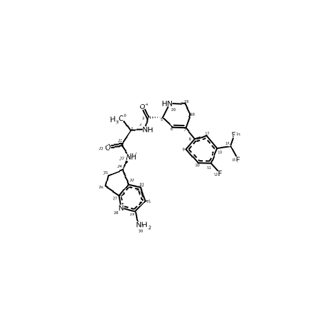 CC(NC(=O)[C@H]1C=C(c2ccc(F)c(C(F)F)c2)CCN1)C(=O)N[C@@H]1CCc2nc(N)ccc21